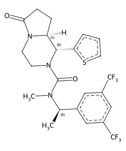 C[C@H](c1cc(C(F)(F)F)cc(C(F)(F)F)c1)N(C)C(=O)N1CCN2C(=O)CC[C@H]2[C@@H]1c1cccs1